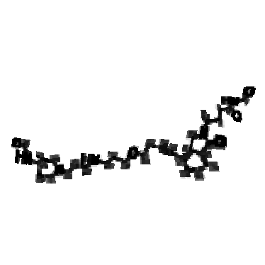 CC(CCC(=O)NC=O)N1Cc2c(C#CCCOCCCNCCCN3CCC(NC=O)CC3)cccc2C1=O